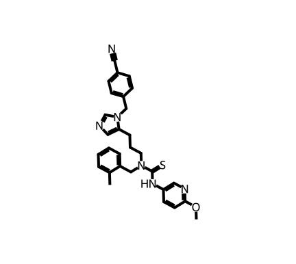 COc1ccc(NC(=S)N(CCCc2cncn2Cc2ccc(C#N)cc2)Cc2ccccc2C)cn1